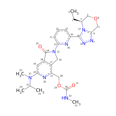 CC[C@H]1COCc2nnc(-c3cccc(N4Cc5c(cc(N(C)C(C)C)nc5COC(=O)NC)C4=O)n3)n21